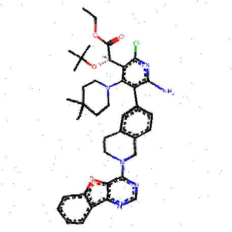 CCOC(=O)[C@@H](OC(C)(C)C)c1c(Cl)nc(N)c(-c2ccc3c(c2)CCN(c2ncnc4c2oc2ccccc24)C3)c1N1CCC(C)(C)CC1